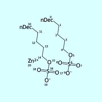 CCCCCCCCCCCCCCOS(=O)(=O)[O-].CCCCCCCCCCCCCCOS(=O)(=O)[O-].[Zn+2]